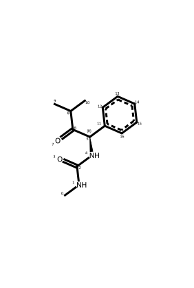 CNC(=O)N[C@@H](C(=O)C(C)C)c1ccccc1